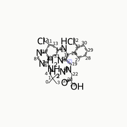 CC(C)(C)CNc1ncnc2c(Cl)cc(NC(/C(N)=C/N(N)CC(=O)O)c3ccccc3Cl)cc12